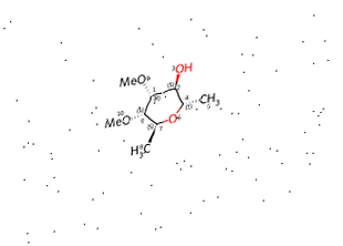 CO[C@@H]1[C@@H](O)[C@H](C)O[C@@H](C)[C@@H]1OC